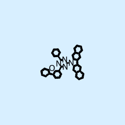 c1ccc(-c2nc(-c3cccc4c3oc3ccccc34)nc(-n3c4cc5ccccc5cc4c4cc5ccccc5cc43)n2)cc1